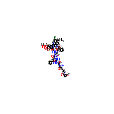 CC[C@@]1(O)C(=O)OCc2c1cc1n(c2=O)Cc2c-1nc1cc(F)c(C)c3c1c2[C@@H](N(C)C(=O)[C@@H](OCNC(=O)CNC(=O)[C@H](CCc1ccccc1)NC(=O)CNC(=O)CNC(=O)CCCCCN1C(=O)C=CC1=O)c1ccccc1)CC3